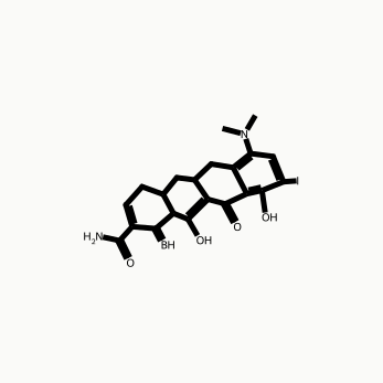 B=C1C(C(N)=O)=CCC2CC3Cc4c(N(C)C)cc(I)c(O)c4C(=O)C3=C(O)C12